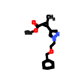 CC1C(C(=O)OC(C)(C)C)C1c1cnn(CCOCc2ccccc2)c1